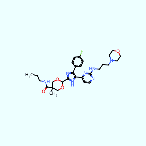 CCCNC(=O)C1(C)COC(c2nc(-c3ccc(F)cc3)c(-c3ccnc(NCCCN4CCOCC4)n3)[nH]2)OC1